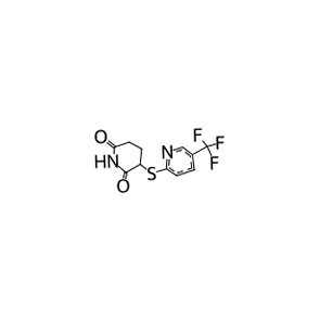 O=C1CCC(Sc2ccc(C(F)(F)F)cn2)C(=O)N1